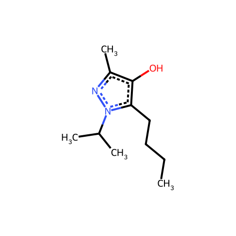 CCCCc1c(O)c(C)nn1C(C)C